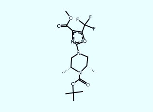 COC(=O)c1nc(N2C[C@@H](C)N(C(=O)OC(C)(C)C)[C@@H](C)C2)oc1C(F)(F)F